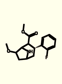 COC(=O)C1C2NC(CC2OC)C[C@H]1c1ccccc1F